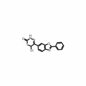 CCC1SC(=O)NN=C1c1ccc2nc(-c3ccccc3)oc2c1